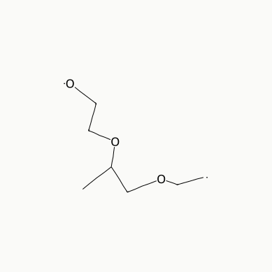 [CH2]COCC(C)OCC[O]